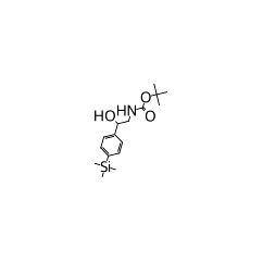 CC(C)(C)OC(=O)NCC(O)c1ccc([Si](C)(C)C)cc1